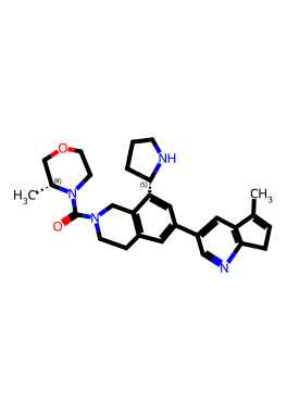 CC1=CCc2ncc(-c3cc4c(c([C@@H]5CCCN5)c3)CN(C(=O)N3CCOC[C@H]3C)CC4)cc21